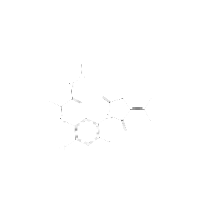 CONC(=O)C(C)Nc1cc(N2C(=O)CC(=C(C)C)C2=O)c(F)cc1Cl